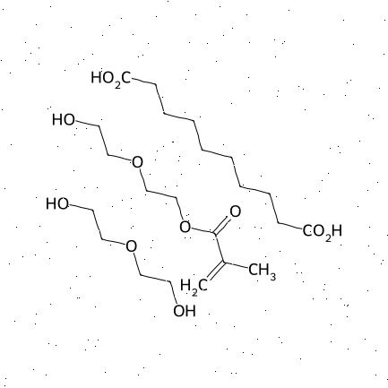 C=C(C)C(=O)OCCOCCO.O=C(O)CCCCCCCCC(=O)O.OCCOCCO